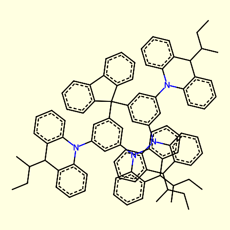 CCC(C)C1c2ccccc2N(c2cc(N3c4ccccc4C(C(C)CC)c4ccccc43)cc(C3(c4cc(N5c6ccccc6C(C(C)CC)c6ccccc65)cc(N5c6ccccc6C(C(C)CC)c6ccccc65)c4)c4ccccc4-c4ccccc43)c2)c2ccccc21